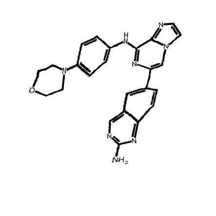 Nc1ncc2cc(-c3cn4ccnc4c(Nc4ccc(N5CCOCC5)cc4)n3)ccc2n1